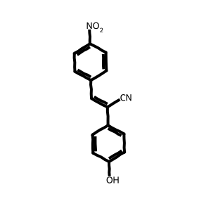 N#C/C(=C\c1ccc([N+](=O)[O-])cc1)c1ccc(O)cc1